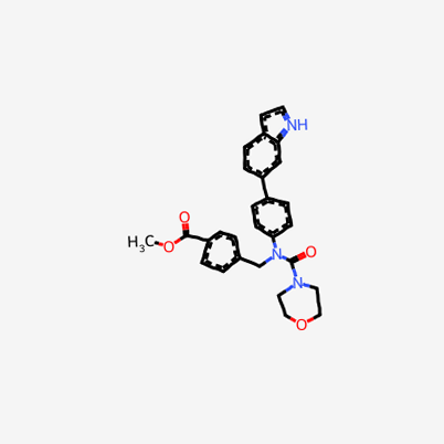 COC(=O)c1ccc(CN(C(=O)N2CCOCC2)c2ccc(-c3ccc4cc[nH]c4c3)cc2)cc1